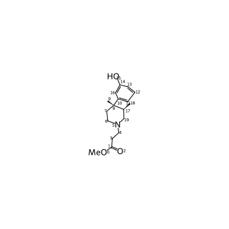 COC(=O)CCN1CC[C@](C)(c2cccc(O)c2)[C@@H](C)C1